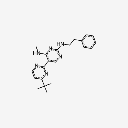 CNc1nc(NCCc2ccccc2)ncc1-c1nccc(C(C)(C)C)n1